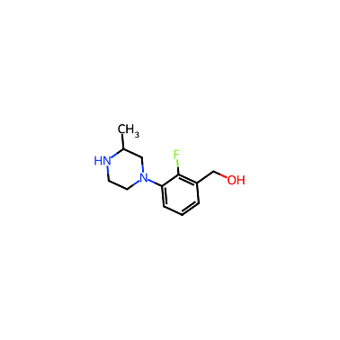 CC1CN(c2cccc(CO)c2F)CCN1